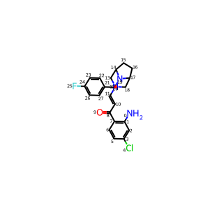 Nc1cc(Cl)ccc1C(=O)/C=C/N1CC2CCC(C1)N2Cc1ccc(F)cc1